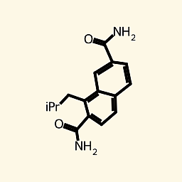 CC(C)Cc1c(C(N)=O)ccc2ccc(C(N)=O)cc12